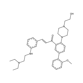 CCN(CC)CCNc1cccc(C=CC(=O)c2cc(-c3ccccc3OC)ccc2N2CCN(CCO)CC2)c1